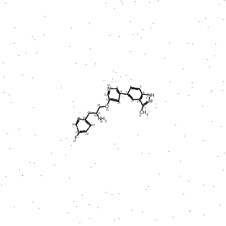 Cc1n[nH]c2ccc(-c3cncc(OC[C@@H](N)Cc4ccc(F)cc4)c3)cc12